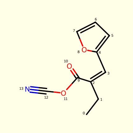 CCC(=Cc1ccco1)C(=O)OC#N